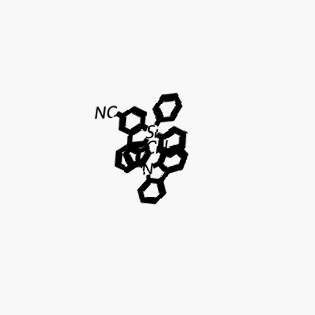 N#Cc1ccc([Si](c2ccccc2)(c2ccccc2)c2ccccc2)c(-c2cccc(-n3c4ccccc4c4ccccc43)c2C#N)c1